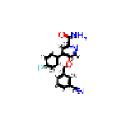 N#Cc1cccc(COc2cnc(C(N)=O)cc2-c2ccc(F)cc2)c1